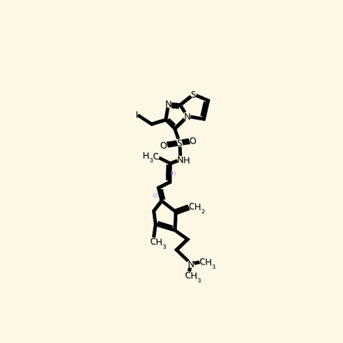 C=C1C(CCN(C)C)=C(C)C/C1=C/C=C(\C)NS(=O)(=O)c1c(CI)nc2sccn12